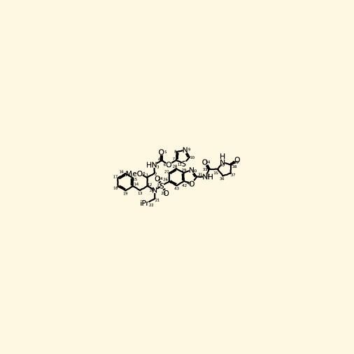 COC(CNC(=O)Oc1cncs1)C(Cc1ccccc1)N(CC(C)C)S(=O)(=O)c1ccc2nc(NC(=O)C3CCC(=O)N3)oc2c1